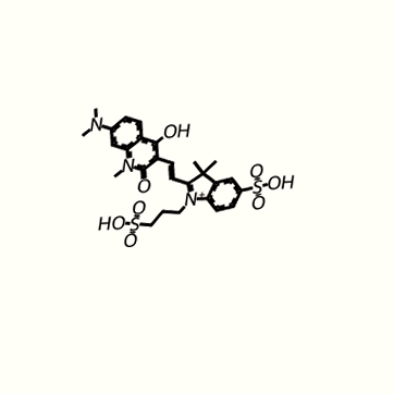 CN(C)c1ccc2c(O)c(/C=C/C3=[N+](CCCS(=O)(=O)O)c4ccc(S(=O)(=O)O)cc4C3(C)C)c(=O)n(C)c2c1